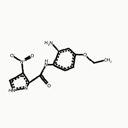 CCOc1ccc(NC(=O)c2n[nH]cc2[N+](=O)[O-])c(N)c1